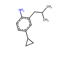 CC(C)Cc1cc(C2CC2)ccc1N